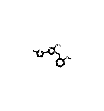 COc1ccccc1Cn1cc(-c2ccc(C)o2)nc1N